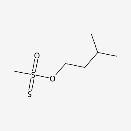 CC(C)CCOS(C)(=O)=S